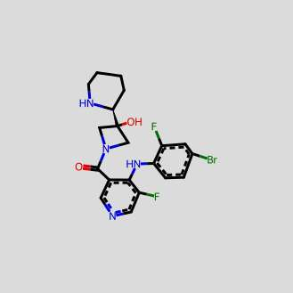 O=C(c1cncc(F)c1Nc1ccc(Br)cc1F)N1CC(O)([C@@H]2CCCCN2)C1